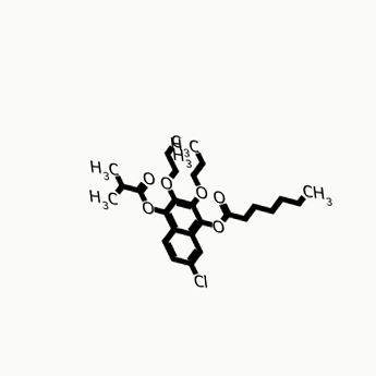 CCCCCCC(=O)Oc1c(OCCC)c(OCCC)c(OC(=O)C(C)C)c2ccc(Cl)cc12